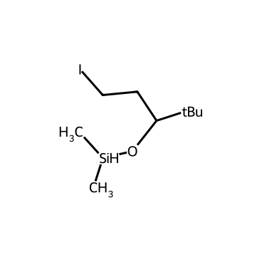 C[SiH](C)OC(CCI)C(C)(C)C